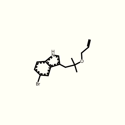 C=CCOC(C)(C)Cc1c[nH]c2ccc(Br)cc12